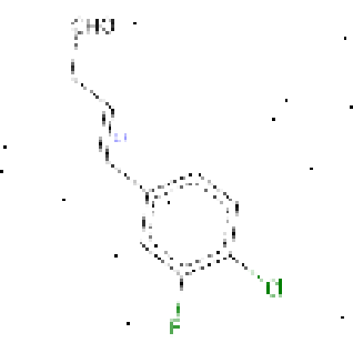 O=[C]C/C=C/c1ccc(Cl)c(F)c1